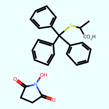 CC(SC(c1ccccc1)(c1ccccc1)c1ccccc1)C(=O)O.O=C1CCC(=O)N1O